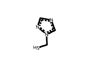 SCn1cncn1